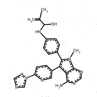 C=C(C)C(O)Nc1ccc(-c2c(-c3ccc(-n4cncn4)nc3)c3c(N)ncnc3n2C)cc1